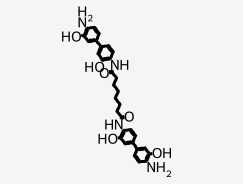 Nc1ccc(-c2ccc(NC(=O)CCCCCCC(=O)Nc3ccc(-c4ccc(N)c(O)c4)cc3O)c(O)c2)cc1O